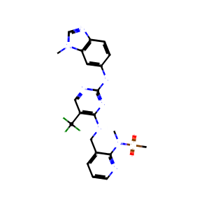 CN(c1ncccc1CNc1nc(Nc2ccc3ncn(C)c3c2)ncc1C(F)(F)F)S(C)(=O)=O